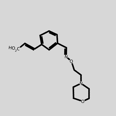 O=C(O)/C=C/c1cccc(C=NOCCN2CCOCC2)c1